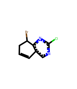 Clc1ncc2c(n1)C(Br)CC=C2